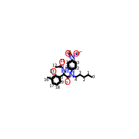 CCCCCN(C(=O)C1NC(=O)COc2c(C)cccc21)c1ccc([N+](=O)[O-])cc1